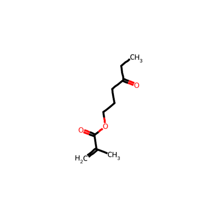 C=C(C)C(=O)OCCCC(=O)CC